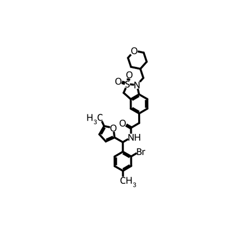 Cc1ccc(C(NC(=O)Cc2ccc3c(c2)CS(=O)(=O)N3CC2CCOCC2)c2ccc(C)o2)c(Br)c1